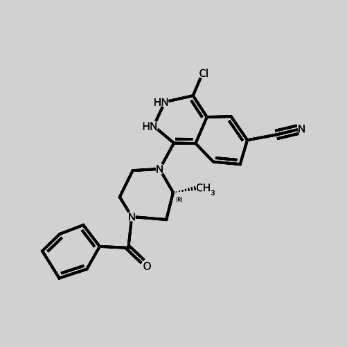 C[C@@H]1CN(C(=O)c2ccccc2)CCN1C1=c2ccc(C#N)cc2=C(Cl)NN1